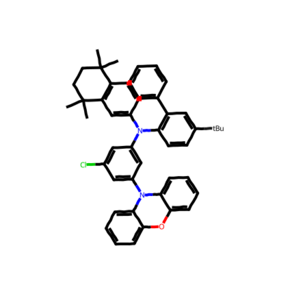 CC(C)(C)c1ccc(N(c2cc(Cl)cc(N3c4ccccc4Oc4ccccc43)c2)c2ccc3c(c2)C(C)(C)CCC3(C)C)c(-c2ccccc2)c1